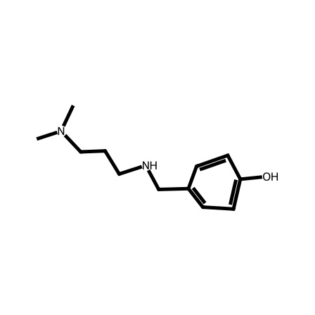 CN(C)CCCNCc1ccc(O)cc1